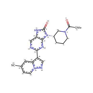 COC(=O)N1CCC[C@H](n2c(=O)[nH]c3cnc(-c4cnn5ccc(C#N)cc45)nc32)C1